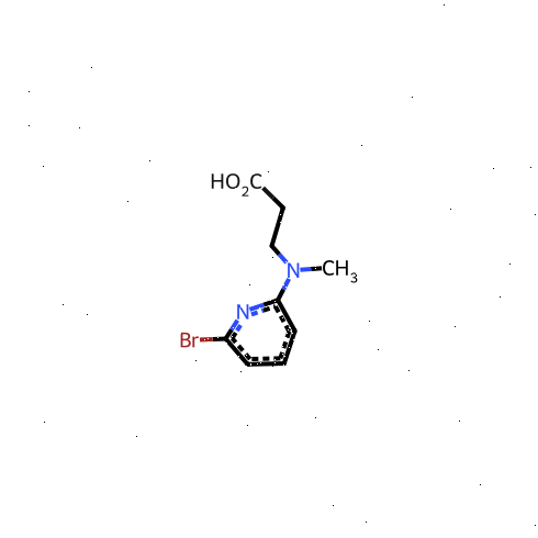 CN(CCC(=O)O)c1cccc(Br)n1